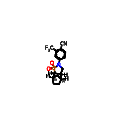 N#Cc1ccc(N2C[C@@H]3[C@@H]4CC[C@@H](C4)[C@@H]3S2(=O)=O)cc1C(F)(F)F